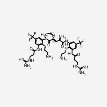 C=C(/C=C(\N=C/C)C(=O)Nc1cc(C(F)(F)F)cc(NC(=O)CCNC(=N)N)c1SCCN)C(=O)Nc1cc(C(F)(F)F)cc(NC(=O)CCNC(=N)N)c1SCCN